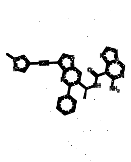 C[C@H](NC(=O)c1c(N)ncn2ccnc12)c1cc2scc(C#Cc3cnn(C)c3)c2nc1-c1ccccc1